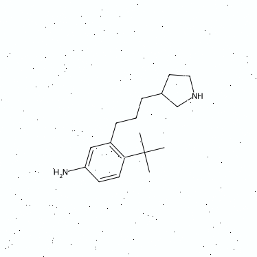 CC(C)(C)c1ccc(N)cc1CCCC1CCNC1